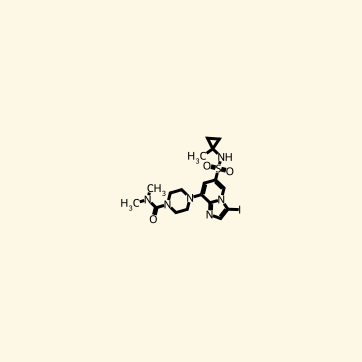 CN(C)C(=O)N1CCN(c2cc(S(=O)(=O)NC3(C)CC3)cn3c(I)cnc23)CC1